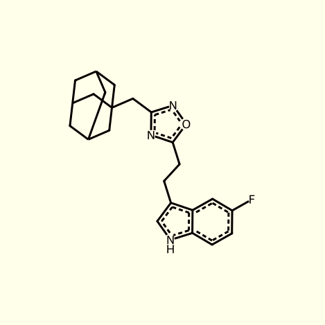 Fc1ccc2[nH]cc(CCc3nc(CC45CC6CC(CC(C6)C4)C5)no3)c2c1